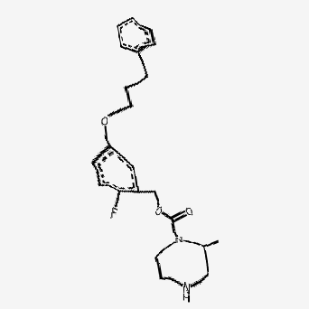 CC1CNCCN1C(=O)OCc1cc(OCCCc2ccccc2)ccc1F